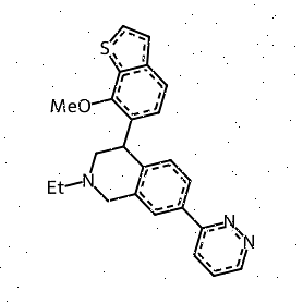 CCN1Cc2cc(-c3cccnn3)ccc2C(c2ccc3ccsc3c2OC)C1